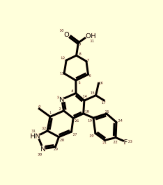 Cc1c2nc(C3=CCC(C(=O)O)CC3)c(C(C)C)c(-c3ccc(F)cc3)c2cc2cn[nH]c12